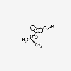 CC#CC(C)OC(=O)c1c2ccc(OCC#N)cc2n2ccccc12